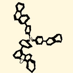 c1ccc2cc(-c3ccc(N(c4ccc(-c5ccc6c(ccc7ccccc76)c5)cc4)c4ccc(-c5cccc6oc7c8ccccc8ccc7c56)cc4)cc3)ccc2c1